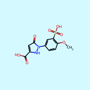 COc1ccc(-n2[nH]c(C(=O)O)cc2=O)cc1S(=O)(=O)O